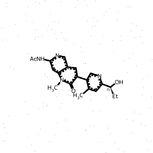 CC[C@H](O)c1cc(C)c(-c2cc3cnc(NC(C)=O)cc3n(C)c2=O)cn1